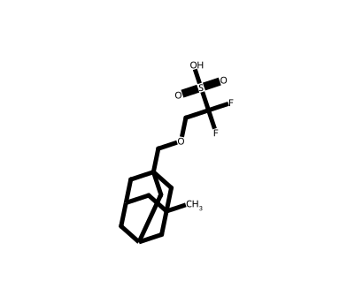 CC12CC3CC(C1)CC(COCC(F)(F)S(=O)(=O)O)(C3)C2